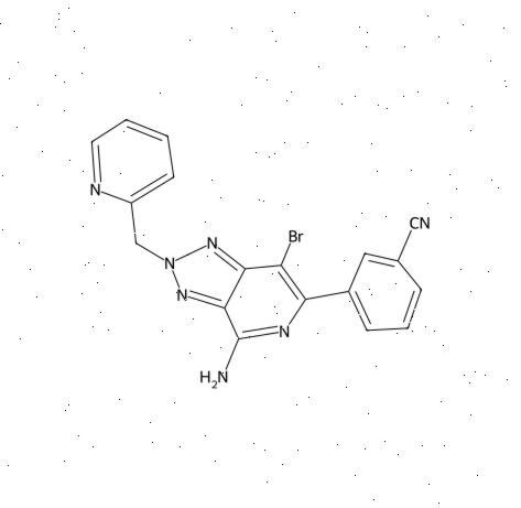 N#Cc1cccc(-c2nc(N)c3nn(Cc4ccccn4)nc3c2Br)c1